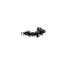 CC(C)C(C(=O)C(F)(F)F)N(C(=O)CNC(=O)[C@@H](NC(=O)c1ccc(C(=O)NS(=O)(=O)c2ccc(Cl)cc2)cc1)C(C)C)C1CCCC1